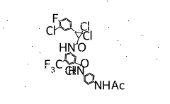 CC(=O)Nc1ccc(NC(=O)c2cc(NC(=O)C3C(c4ccc(F)c(Cl)c4)C3(Cl)Cl)cc(C(F)(F)F)c2Cl)cc1